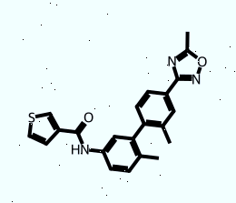 Cc1nc(-c2ccc(-c3cc(NC(=O)c4ccsc4)ccc3C)c(C)c2)no1